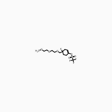 COCCOCCOCC1(F)CC=C(OS(=O)(=O)C(F)(F)F)CC1